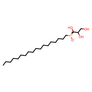 CCCCCCCCCCCCCCCCCC/[P+]([O-])=C(\O)C(O)CO